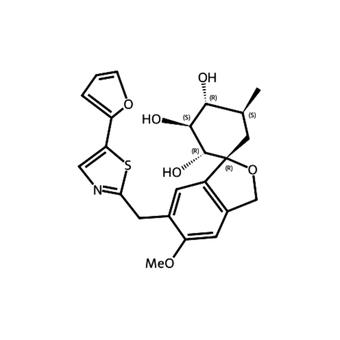 COc1cc2c(cc1Cc1ncc(-c3ccco3)s1)[C@@]1(C[C@H](C)[C@@H](O)[C@H](O)[C@H]1O)OC2